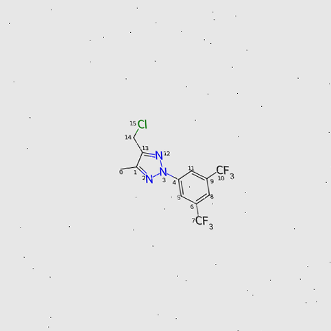 Cc1nn(-c2cc(C(F)(F)F)cc(C(F)(F)F)c2)nc1CCl